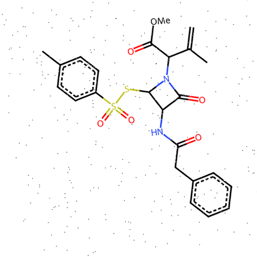 C=C(C)C(C(=O)OC)N1C(=O)C(NC(=O)Cc2ccccc2)C1SS(=O)(=O)c1ccc(C)cc1